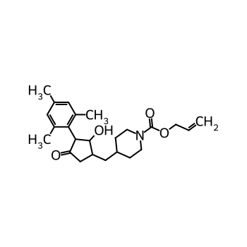 C=CCOC(=O)N1CCC(CC2CC(=O)C(c3c(C)cc(C)cc3C)C2O)CC1